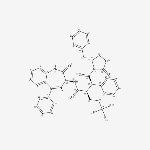 O=C1Nc2ccccc2C(c2ccccc2)=N[C@@H]1NC(=O)[C@H](CCC(F)(F)F)[C@@H](C(=O)N1C(=O)OC[C@H]1Cc1ccccc1)c1ccccc1